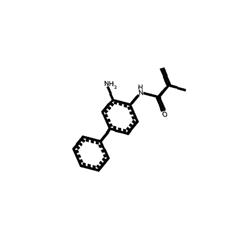 C=C(C)C(=O)Nc1ccc(-c2ccccc2)cc1N